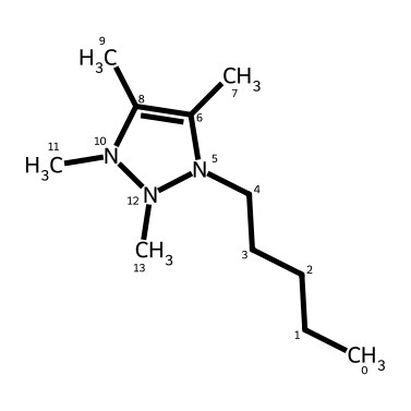 CCCCCN1C(C)=C(C)N(C)N1C